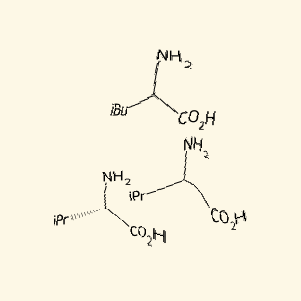 CC(C)C(N)C(=O)O.CC(C)[C@H](N)C(=O)O.CCC(C)C(N)C(=O)O